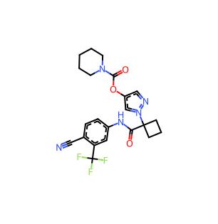 N#Cc1ccc(NC(=O)C2(n3cc(OC(=O)N4CCCCC4)cn3)CCC2)cc1C(F)(F)F